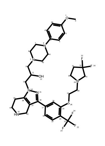 COc1ccc(N2CCN(CC(O)Cn3nc(-c4ccc(C(F)(F)F)c(SCCN5CCC(F)(F)C5)c4)c4c3CCNC4)CC2)cc1